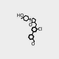 CC1(O)CCC(N2CCC(Cc3ccc(-c4cccc(C=O)c4)cc3Cl)C2=O)CC1